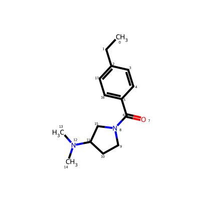 CCc1ccc(C(=O)N2CCC(N(C)C)C2)cc1